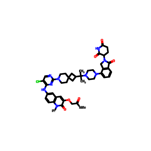 CNC(=O)COc1cc2cc(Nc3nc(N4CCC5(CC4)CC(C(C)(C)N4CCN(c6cccc7c6CN(C6CCC(=O)NC6=O)C7=O)CC4)C5)ncc3Cl)ccc2n(C(C)C)c1=O